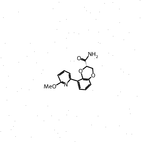 COc1cccc(-c2cccc3c2O[C@H](C(N)=O)CO3)n1